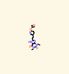 CCn1c(=O)c2[nH]c(/C=C/c3ccc(OC4COC4)nc3)nc2n(CC)c1=O